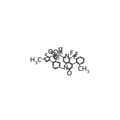 Cc1cc(-c2ccc(Cn3c(=O)cc(-c4ccccc4C)c4c(C(F)(F)F)nc(CC5CC5)cc43)cc2Cl)c(S(=O)(=O)O)s1